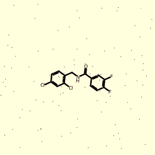 O=C(NCc1ccc(Cl)cc1Cl)c1[c]cc(F)c(F)c1